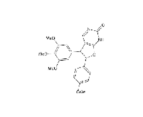 COc1ccc(C2Oc3[nH]c(=O)ncc3C2c2cc(OC)c(OC)c(OC)c2)cc1